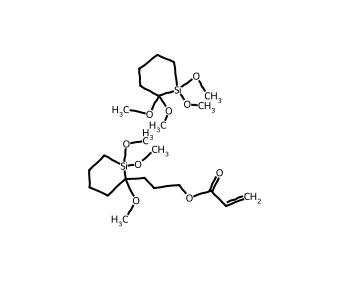 C=CC(=O)OCCCC1(OC)CCCC[Si]1(OC)OC.COC1(OC)CCCC[Si]1(OC)OC